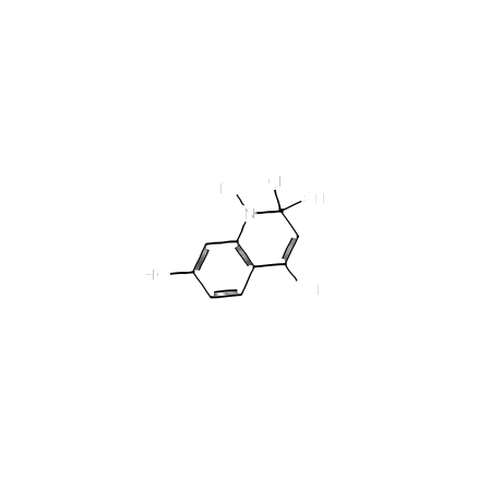 CCCN1c2cc(O)ccc2C(C)=CC1(C)C